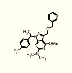 COc1nc(N(C)C)nc2c1c(COCc1ccccc1)nn2C(C)c1ccc(C(F)(F)F)cc1